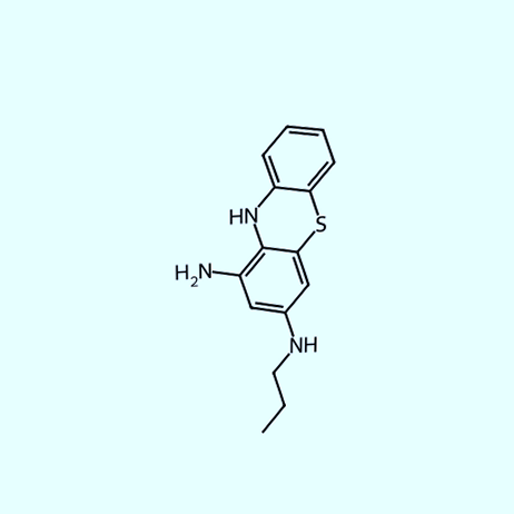 CCCNc1cc(N)c2c(c1)Sc1ccccc1N2